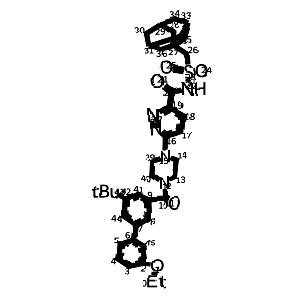 CCOc1cccc(-c2cc(C(=O)N3CCN(c4ccc(C(=O)NS(=O)(=O)CC56CC7CC(CC(C7)C5)C6)nn4)CC3)cc(C(C)(C)C)c2)c1